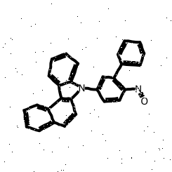 O=Nc1ccc(-n2c3ccccc3c3c4ccccc4ccc32)cc1-c1ccccc1